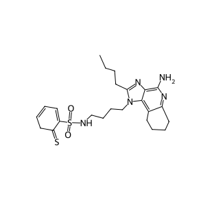 CCCCc1nc2c(N)nc3c(c2n1CCCCNS(=O)(=O)C1=CC=CCC1=S)CCCC3